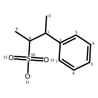 CC(c1ccccc1)C(C)S([O])(=O)=O